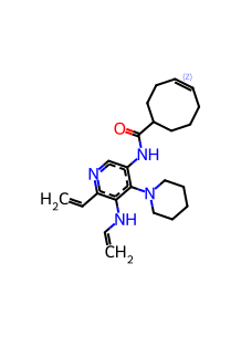 C=CNc1c(C=C)ncc(NC(=O)C2CC/C=C\CCC2)c1N1CCCCC1